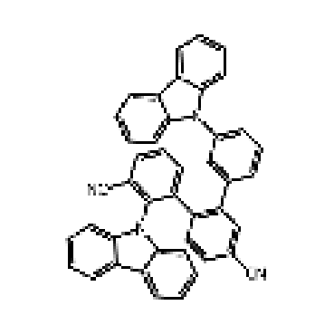 N#Cc1ccc(-c2cccc(C#N)c2-n2c3ccccc3c3ccccc32)c(-c2cccc(-n3c4ccccc4c4ccccc43)c2)c1